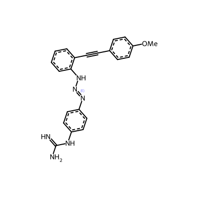 COc1ccc(C#Cc2ccccc2N/N=N/c2ccc(NC(=N)N)cc2)cc1